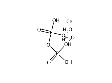 O.O.O=P(O)(O)OP(=O)(O)O.[Ce]